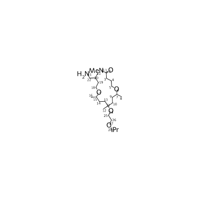 CNC(=O)CCCOC(C)CCC(C)(CCC(C)OCCC(C)CN)OCCOC(C)C